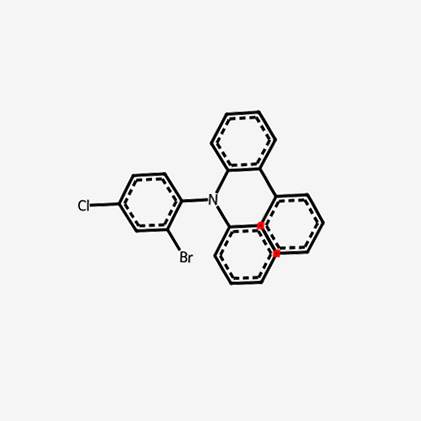 Clc1ccc(N(c2ccccc2)c2ccccc2-c2ccccc2)c(Br)c1